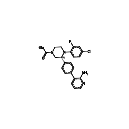 CC(C)(C)C(=O)N1CCN(c2ccc(Cl)cc2F)[C@H](c2ccc(-c3cccnc3N)cc2)C1